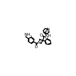 NCc1ccc(C(=O)N2CC(C(=O)O[C@H]3CN4CCC3CC4)(c3ccccc3)C2)cc1